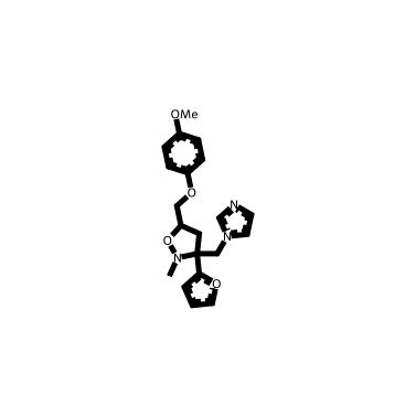 COc1ccc(OCC2CC(Cn3ccnc3)(c3ccco3)N(C)O2)cc1